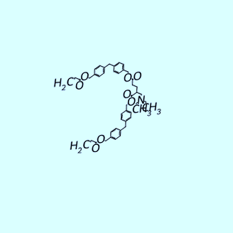 C=CC(=O)OCc1ccc(Cc2ccc(COC(=O)CCC(CN(CC)CC)C(=O)OCc3ccc(Cc4ccc(COC(=O)C=C)cc4)cc3)cc2)cc1